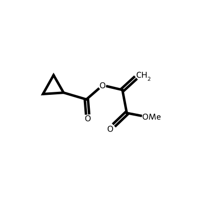 C=C(OC(=O)C1CC1)C(=O)OC